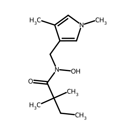 CCC(C)(C)C(=O)N(O)Cc1cn(C)cc1C